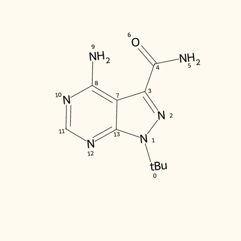 CC(C)(C)n1nc(C(N)=O)c2c(N)ncnc21